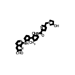 Cc1c(Nc2nccc3cc(C=O)cnc23)cccc1-c1cccc(NC(=O)c2ccc(CN3CC[C@@H](O)C3)cn2)c1Cl